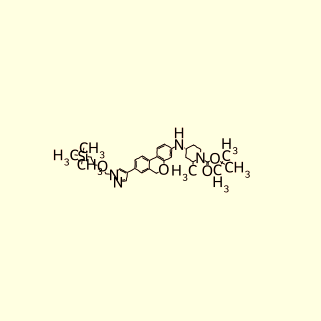 C[C@H]1C[C@H](Nc2ccc3c(c2)OCc2cc(-c4cnn(COCC[Si](C)(C)C)c4)ccc2-3)CCN1C(=O)OC(C)(C)C